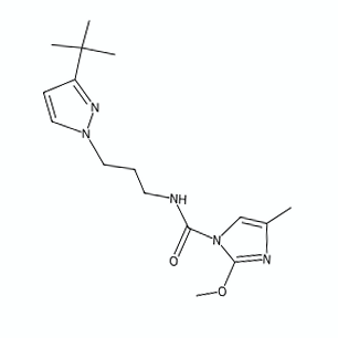 COc1nc(C)cn1C(=O)NCCCn1ccc(C(C)(C)C)n1